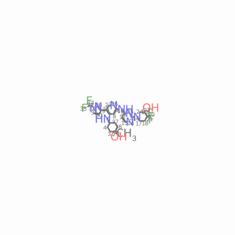 CC1(O)CCC(Nc2cc(Nc3ccnc(N4CCC(F)(F)C(O)C4)n3)ncc2-c2ccn(C(F)F)n2)CC1